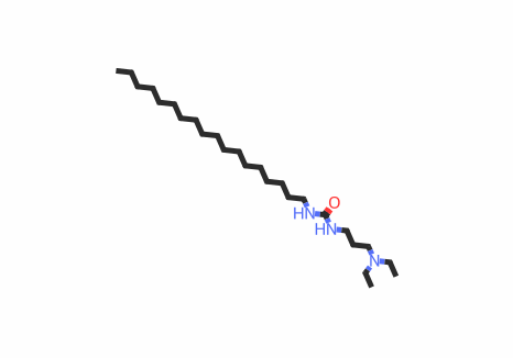 CCCCCCCCCCCCCCCCCCNC(=O)NCCCN(CC)CC